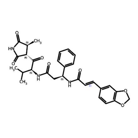 CC(C)[C@H](NC(=O)C[C@H](NC(=O)/C=C/c1ccc2c(c1)OCO2)c1ccccc1)C(=O)[C@@H]1C(=O)NC(=O)[C@H]1C